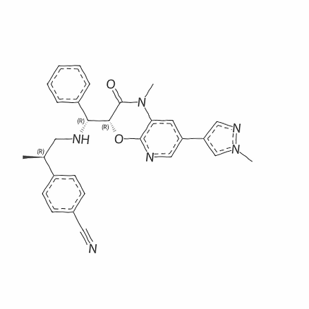 C[C@@H](CN[C@H](c1ccccc1)[C@H]1Oc2ncc(-c3cnn(C)c3)cc2N(C)C1=O)c1ccc(C#N)cc1